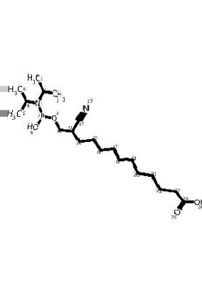 CC(C)N(C(C)C)P(O)OCC(C#N)CCCCCCCCCCC(=O)O